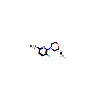 C=C[C@@H]1CN(c2nc(C(=O)O)ccc2F)CCO1